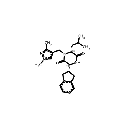 Cc1nn(C)cc1CN1C(=O)[C@@H](C2Cc3ccccc3C2)NC(=O)[C@H]1CC(C)C